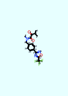 CC(C)C(=O)C(=O)N(C)Cc1ccc(-c2noc(C(F)(F)F)n2)cc1